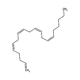 C=CCC/C=C\C/C=C\C/C=C\C/C=C\CCCCC